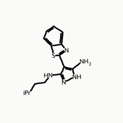 CC(C)CCNc1n[nH]c(N)c1-c1nc2ccccc2s1